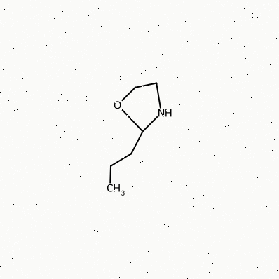 CCCC1NCCO1